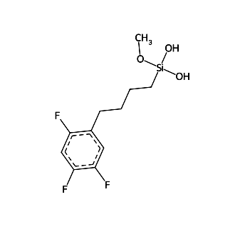 CO[Si](O)(O)CCCCc1cc(F)c(F)cc1F